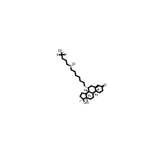 C[C@]12CCC(=O)C=C1C[C@@H](CCCCCCC[S+]([O-])CCCC(F)(F)C(F)(F)F)[C@@H]1[C@@H]2CC[C@@]2(C)[C@H]1CC[C@]2(C)O